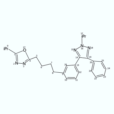 CC(C)c1nnc(CCCCc2cccc(-c3nn(C(C)C)nc3-c3ccccc3)c2)o1